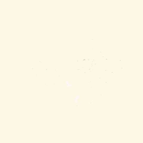 N#Cc1ccccc1-c1ccc(-c2cc(-c3ccccc3)cc(-c3nccc4oc5ccc(-c6c7ccccc7c(-c7ccccc7)c7ccccc67)cc5c34)n2)cc1